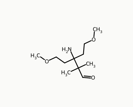 COCCC(N)(CCOC)C(C)(C)C=O